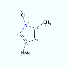 CNc1cc(C)n(C)c1